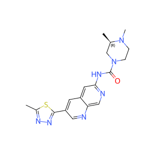 Cc1nnc(-c2cnc3cnc(NC(=O)N4CCN(C)[C@H](C)C4)cc3c2)s1